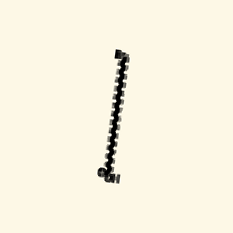 O=C(O)CCCCCCCCCCCCCCCCCCCCCCCCCCCBr